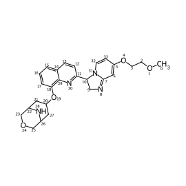 COCCOC1=CC2=NCC(c3ccc4cccc(OC5CC6COCC(C5)N6)c4n3)N2C=C1